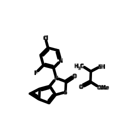 COC(=O)C(C)S.O=c1sc2cc3cc-3c2n1-c1ncc(Cl)cc1F